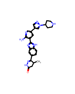 CC1CC(=O)NN=C1c1ccc2[nH]c(-c3cc(-c4cnn(C5CCNCC5)c4)cnc3N)nc2c1